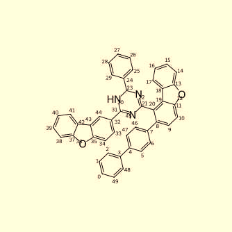 c1ccc(-c2ccc(-c3ccc4oc5ccccc5c4c3C3=NC(c4ccccc4)NC(c4ccc5oc6ccccc6c5c4)=N3)cc2)cc1